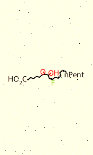 CCCCC/C=C\C/C=C\C/C(F)=C\C(O)C1OC1CCCCCC(=O)O